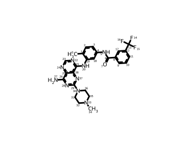 Cc1ccc(NC(=O)c2cccc(C(F)(F)F)c2)cc1Nc1ncnc2c(N)nc(N3CCN(C)CC3)nc12